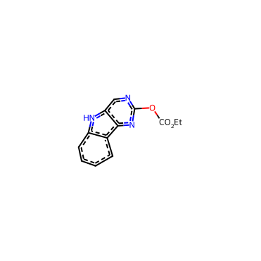 CCOC(=O)Oc1ncc2[nH]c3ccccc3c2n1